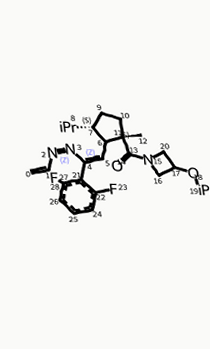 C=C/N=N\C(=C/C1[C@H](C(C)C)CC[C@]1(C)C(=O)N1CC(OC(C)C)C1)c1c(F)cccc1F